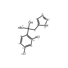 CCCCC(O)(Cc1cnn[nH]1)c1ccc(Cl)cc1Cl